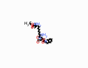 CCOC(=O)[C@@]1(N)C[C@H]1/C=C\CCCCC[C@H](N)C(=O)N1C[C@H](OC(=O)N2CCc3ccccc3C2)C[C@H]1C=O